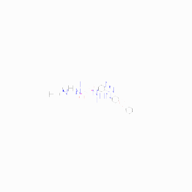 CN(C)CCCNC(=O)C=CC(=O)Nc1ccc2ncnc(Nc3ccc(OCc4ccccc4)cc3)c2c1